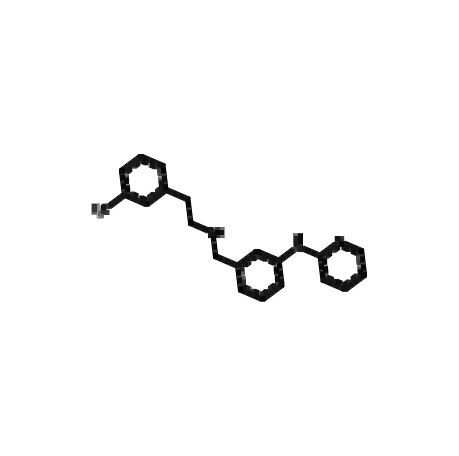 FC(F)(F)c1cccc(CCNCc2cccc(Nc3ccccn3)c2)c1